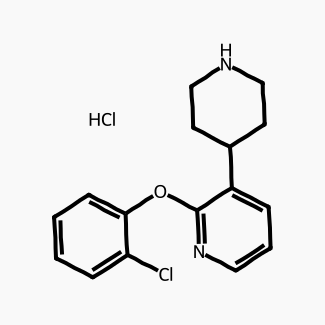 Cl.Clc1ccccc1Oc1ncccc1C1CCNCC1